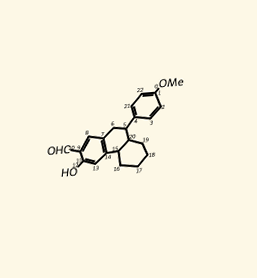 COc1ccc(C2Cc3cc(C=O)c(O)cc3C3CCCCC23)cc1